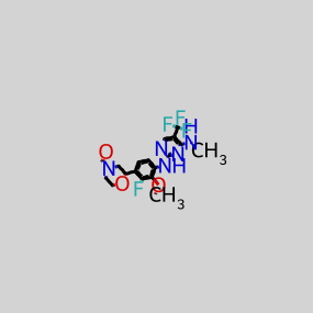 CNc1nc(Nc2ccc(C3CN(C=O)CCO3)c(F)c2OC)ncc1C(F)(F)F